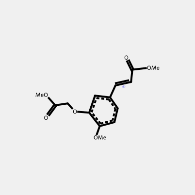 COC(=O)/C=C/c1ccc(OC)c(OCC(=O)OC)c1